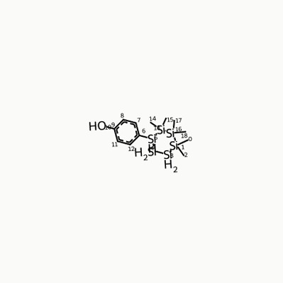 C[Si]1(C)[SiH2][SiH2][SiH](c2ccc(O)cc2)[Si](C)(C)[Si]1(C)C